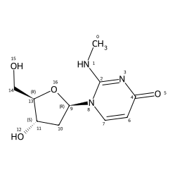 CNc1nc(=O)ccn1[C@H]1C[C@H](O)[C@@H](CO)O1